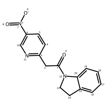 O=C(Cc1ccc([N+](=O)[O-])cn1)N1CCc2ccccc21